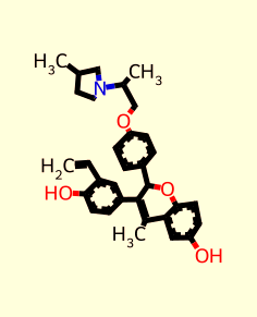 C=Cc1cc(C2=C(C)c3cc(O)ccc3OC2c2ccc(OCC(C)N3CCC(C)C3)cc2)ccc1O